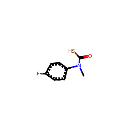 CN(C(=O)S)c1ccc(F)cc1